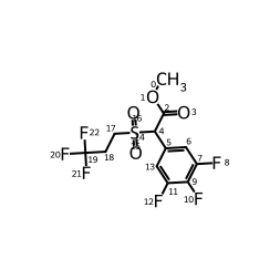 COC(=O)C(c1cc(F)c(F)c(F)c1)S(=O)(=O)CCC(F)(F)F